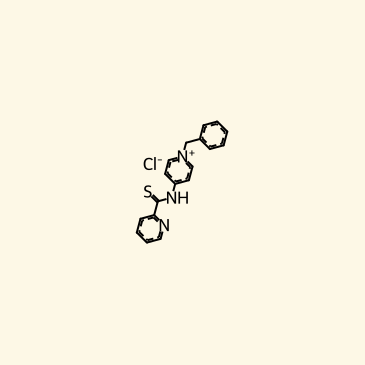 S=C(Nc1cc[n+](Cc2ccccc2)cc1)c1ccccn1.[Cl-]